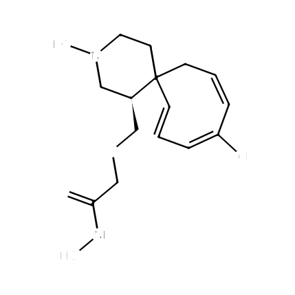 CN1CCC2(/C=C/C=C(Cl)\C=C/C2)[C@@H](CSCC(=O)NO)C1